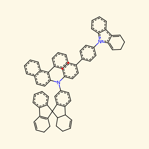 C1=CC2=C(CC1)C1(c3ccccc32)c2cc(N(c3ccc(-c4ccc(-n5c6c(c7ccccc75)=CCCC=6)cc4)cc3)c3ccc4ccccc4c3-c3ccccc3)ccc2C2C=CCCC21